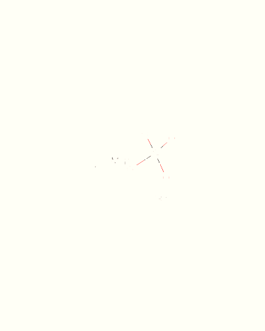 [Dy+3].[Mg+2].[O-][Si]([O-])([O-])[O-].[Sr+2]